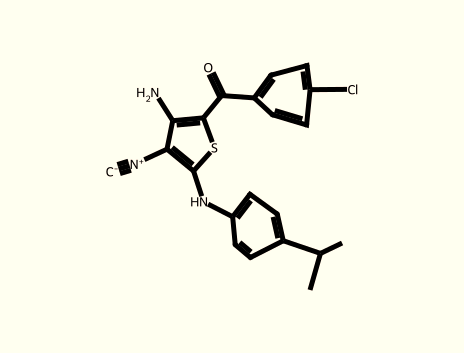 [C-]#[N+]c1c(Nc2ccc(C(C)C)cc2)sc(C(=O)c2ccc(Cl)cc2)c1N